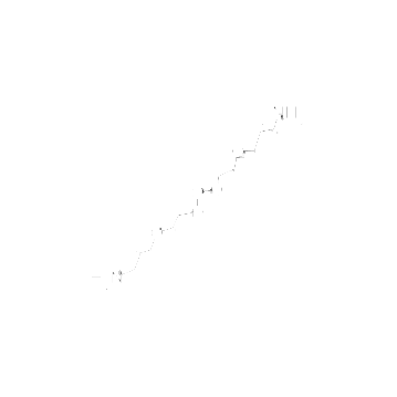 NCCCOCCOOOCCOCCCN